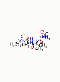 C=C(CC)CC(C)NC(=O)CNC(=O)[C@@H](NC(=O)CNC(C)=O)C(C)C